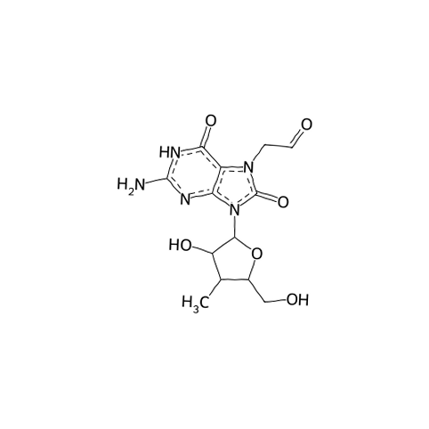 CC1C(CO)OC(n2c(=O)n(CC=O)c3c(=O)[nH]c(N)nc32)C1O